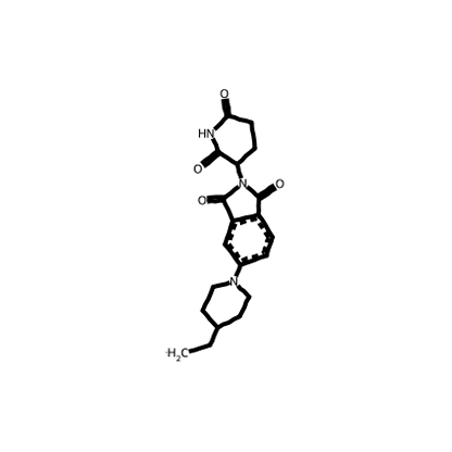 [CH2]CC1CCN(c2ccc3c(c2)C(=O)N(C2CCC(=O)NC2=O)C3=O)CC1